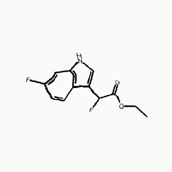 CCOC(=O)C(F)c1c[nH]c2cc(F)ccc12